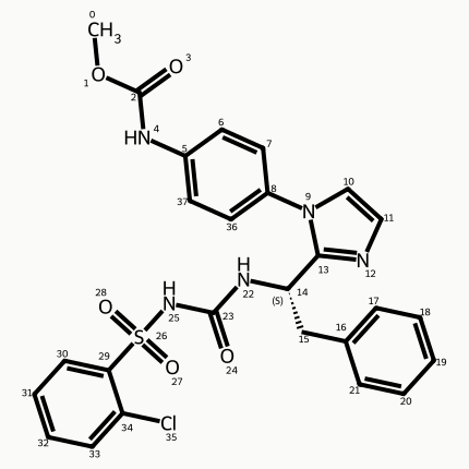 COC(=O)Nc1ccc(-n2ccnc2[C@H](Cc2ccccc2)NC(=O)NS(=O)(=O)c2ccccc2Cl)cc1